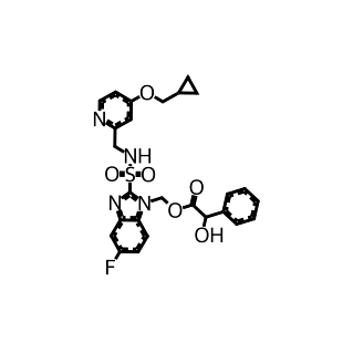 O=C(OCn1c(S(=O)(=O)NCc2cc(OCC3CC3)ccn2)nc2cc(F)ccc21)C(O)c1ccccc1